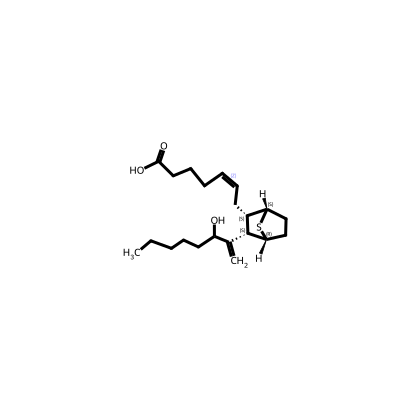 C=C(C(O)CCCCC)[C@@H]1[C@H](C/C=C\CCCC(=O)O)[C@@H]2CC[C@H]1S2